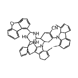 CC1=CCCc2c3c(n(C4CC(N5c6c(C)cccc6C6C=CC=C(C)C65)=C(C#N)CC4C4NC(c5cccc6oc7ccccc7c56)NC(C5C=CC=CC5)N4)c21)C(C)CC=C3